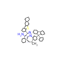 C=C1/C=C\C=C/N(C/N=C(\C=C(/N)c2ccccc2)c2cccc3c2sc2cc4ccccc4cc23)c2cc(C3(c4ccccc4)c4ccccc4-c4ccccc43)ccc21